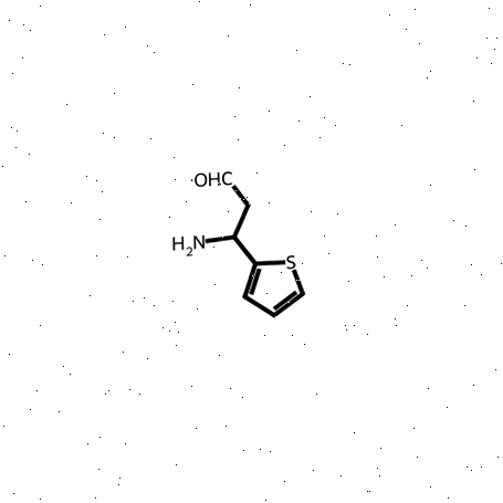 NC(C[C]=O)c1cccs1